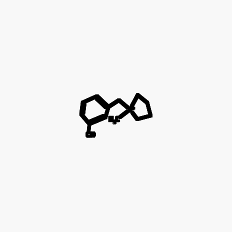 [CH]c1cccc(C[N+]2(C)CCCC2)c1